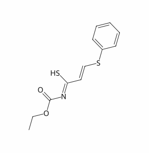 CCOC(=O)N=C(S)C=CSc1ccccc1